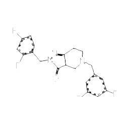 O=C1C2CN(Cc3cc(F)cc(F)c3)CCC2=NN1Cc1ccc(F)cc1F